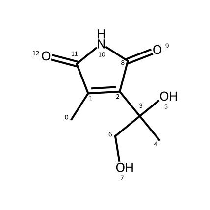 CC1=C(C(C)(O)CO)C(=O)NC1=O